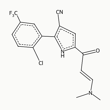 CN(C)C=CC(=O)c1cc(C#N)c(-c2cc(C(F)(F)F)ccc2Cl)[nH]1